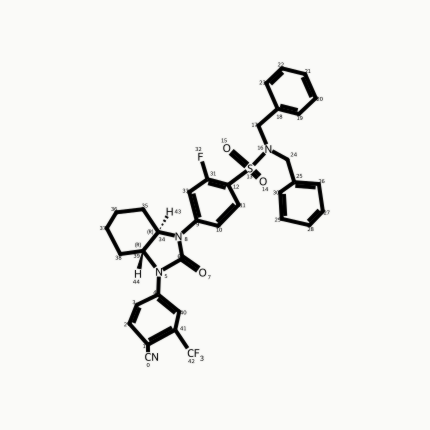 N#Cc1ccc(N2C(=O)N(c3ccc(S(=O)(=O)N(Cc4ccccc4)Cc4ccccc4)c(F)c3)[C@@H]3CCCC[C@H]32)cc1C(F)(F)F